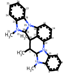 CC1C2N(C)c3ccccc3N2c2cccc3c2C1(C)C1N(C)c2ccccc2N31